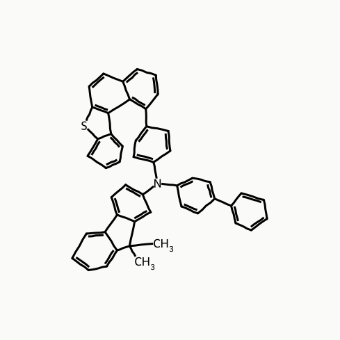 CC1(C)c2ccccc2-c2ccc(N(c3ccc(-c4ccccc4)cc3)c3ccc(-c4cccc5ccc6sc7ccccc7c6c45)cc3)cc21